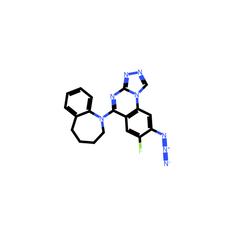 [N-]=[N+]=Nc1cc2c(cc1F)c(N1CCCCc3ccccc31)nc1nncn12